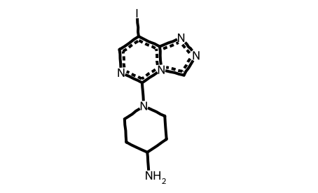 NC1CCN(c2ncc(I)c3nncn23)CC1